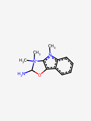 Cn1c2c(c3ccccc31)OC(N)[N+]2(C)C